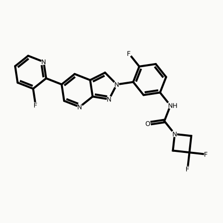 O=C(Nc1ccc(F)c(-n2cc3cc(-c4ncccc4F)cnc3n2)c1)N1CC(F)(F)C1